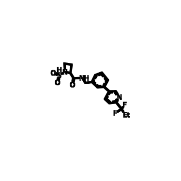 CCC(F)(F)c1ccc(-c2cccc(CNC(=O)C3CCN3[SH](=O)=O)c2)cn1